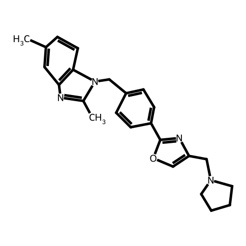 Cc1ccc2c(c1)nc(C)n2Cc1ccc(-c2nc(CN3CCCC3)co2)cc1